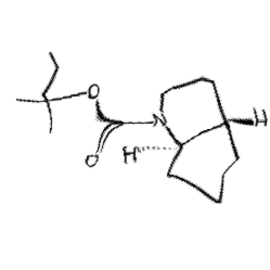 CC(C)(C)OC(=O)N1CC[C@@H]2CCC[C@H]21